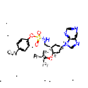 CC(C)[Si](O[C@H]1C[C@H](n2cnc3cncnc32)C[C@@H]1CNS(=O)(=O)Oc1ccc([N+](=O)[O-])cc1)(C(C)C)C(C)C